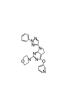 c1ccc(-n2ncc(N3CCc4c(Oc5cccnc5)nc(N5CCOCC5)nc43)n2)cc1